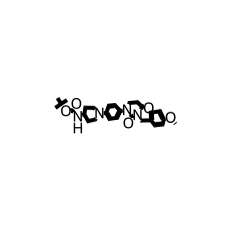 COc1ccc(CN2C(=O)CCN(c3ccc(N4CCC(NC(=O)OC(C)(C)C)CC4)cc3)C2=O)cc1